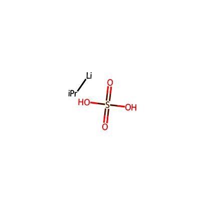 O=S(=O)(O)O.[Li][CH](C)C